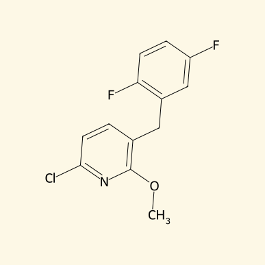 COc1nc(Cl)ccc1Cc1cc(F)ccc1F